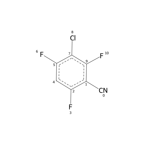 N#Cc1c(F)cc(F)c(Cl)c1F